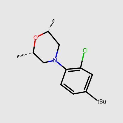 C[C@@H]1CN(c2ccc(C(C)(C)C)cc2Cl)C[C@H](C)O1